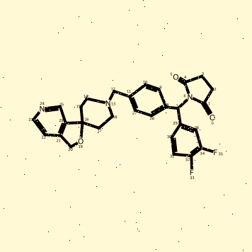 O=C1CCC(=O)N1C(c1ccc(CN2CCC3(CC2)OCc2ccncc23)cc1)c1ccc(F)c(F)c1